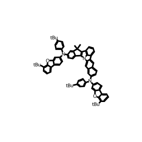 CC(C)(C)c1ccc(N(c2ccc3c(c2)C(C)(C)c2c-3n3c4cc5cc(N(c6ccc(C(C)(C)C)cc6)c6ccc7c(c6)oc6c(C(C)(C)C)cccc67)ccc5cc4c4cccc2c43)c2ccc3c(c2)oc2c(C(C)(C)C)cccc23)cc1